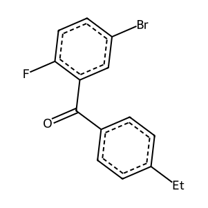 CCc1ccc(C(=O)c2cc(Br)ccc2F)cc1